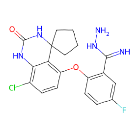 N=C(NN)c1cc(F)ccc1Oc1ccc(Cl)c2c1C1(CCCC1)NC(=O)N2